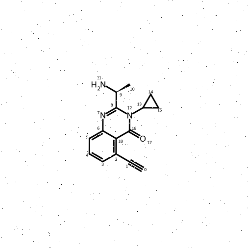 C#Cc1cccc2nc([C@H](C)N)n(C3CC3)c(=O)c12